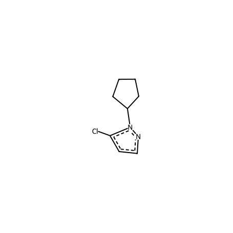 Clc1ccnn1C1CCCC1